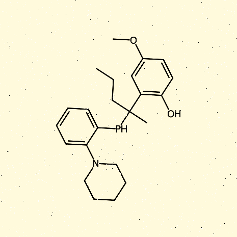 CCCC(C)(Pc1ccccc1N1CCCCC1)c1cc(OC)ccc1O